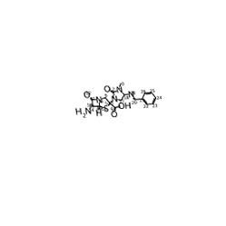 CN1C(=O)N([C@]2(C(=O)O)CN3C(=O)[C@@H](N)[C@H]3S2)CC1N=Cc1ccccc1